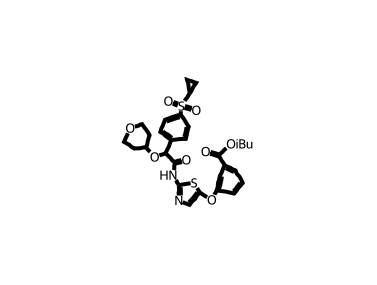 CC(C)COC(=O)c1cccc(Oc2cnc(NC(=O)C(OC3CCOCC3)c3ccc(S(=O)(=O)C4CC4)cc3)s2)c1